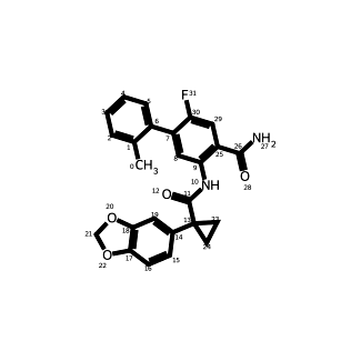 Cc1ccccc1-c1cc(NC(=O)C2(c3ccc4c(c3)OCO4)CC2)c(C(N)=O)cc1F